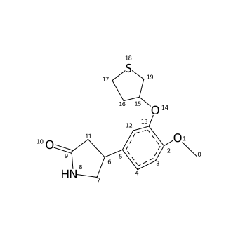 COc1ccc(C2CNC(=O)C2)cc1OC1CCSC1